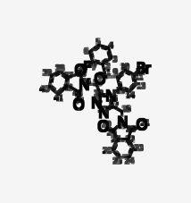 O=C(c1ccccc1F)c1cc(Br)ccc1-n1c(CN2C(=O)c3ccccc3C2=O)nnc1CN1C(=O)c2ccccc2C1=O